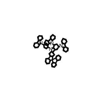 c1ccc2c(c1)-c1ccccc1C21c2ccccc2-c2cc3c(cc21)c1cc(-n2c4ccccc4c4ccccc42)cc(-n2c4ccccc4c4ccccc42)c1n3-c1ccc(-n2c3ccccc3c3ccccc32)cc1